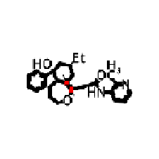 CC[C@@H]1CC23CC=C(C(=O)Nc4cccnc4C)C=C2OCCCC3[C@](O)(c2ccccc2)C1